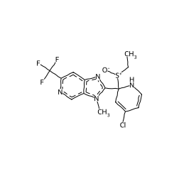 CC[S+]([O-])C1(c2nc3cc(C(F)(F)F)ncc3n2C)C=C(Cl)C=CN1